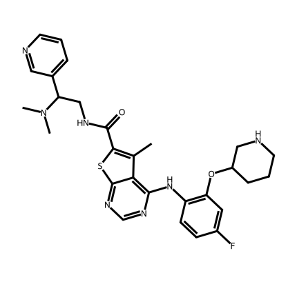 Cc1c(C(=O)NCC(c2cccnc2)N(C)C)sc2ncnc(Nc3ccc(F)cc3OC3CCCNC3)c12